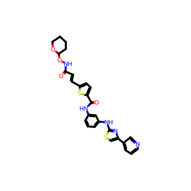 O=C(C=Cc1ccc(C(=O)Nc2cccc(Nc3nc(-c4cccnc4)cs3)c2)s1)NOC1CCCCO1